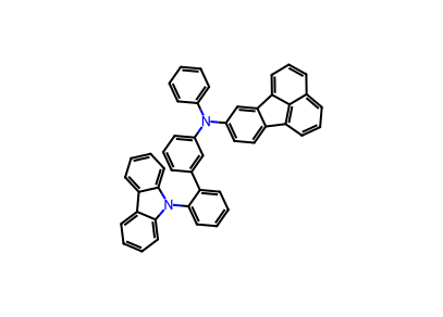 c1ccc(N(c2cccc(-c3ccccc3-n3c4ccccc4c4ccccc43)c2)c2ccc3c(c2)-c2cccc4cccc-3c24)cc1